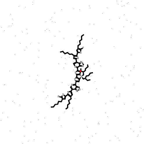 CCCCCCc1cc(-c2sc(-c3cnc(-c4cc5c(s4)-c4sc(-c6ncc(-c7cc(CCCCCC)c(-c8cc(CCCCCC)c(F)s8)s7)c7nsnc67)cc4[Si]5(CC(CC)CCCC)CC(CC)CCCC)c4nsnc34)cc2CCCCCC)sc1F